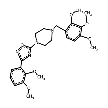 COc1cccc(-c2noc(N3CCN(Cc4ccc(OC)c(OC)c4OC)CC3)n2)c1OC